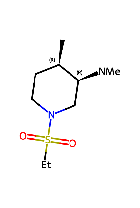 CCS(=O)(=O)N1CC[C@@H](C)[C@@H](NC)C1